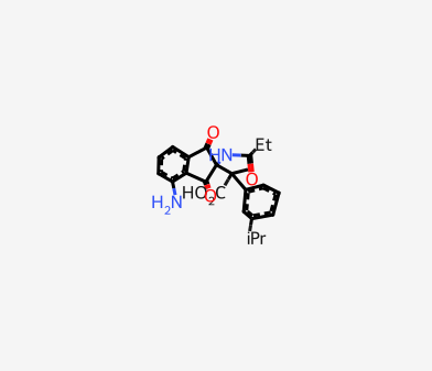 CCC(=O)NC1(C(C)(C(=O)O)c2cccc(C(C)C)c2)C(=O)c2cccc(N)c2C1=O